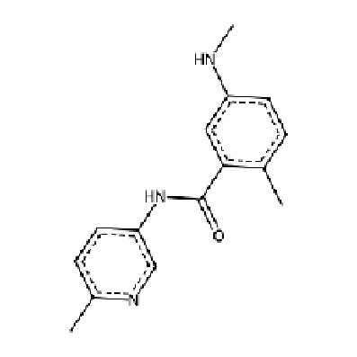 CNc1ccc(C)c(C(=O)Nc2ccc(C)nc2)c1